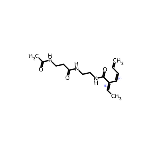 C=C/C=C\C(=C/C)C(=O)NCCNC(=O)CCBC(C)=O